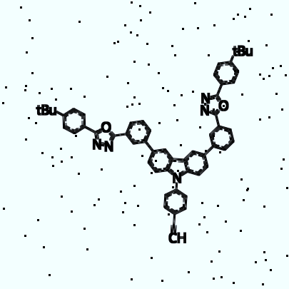 C#Cc1ccc(-n2c3ccc(-c4cccc(-c5nnc(-c6ccc(C(C)(C)C)cc6)o5)c4)cc3c3cc(-c4cccc(-c5nnc(-c6ccc(C(C)(C)C)cc6)o5)c4)ccc32)cc1